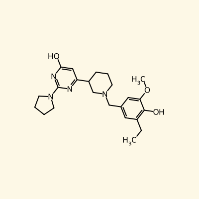 CCc1cc(CN2CCCC(c3cc(O)nc(N4CCCC4)n3)C2)cc(OC)c1O